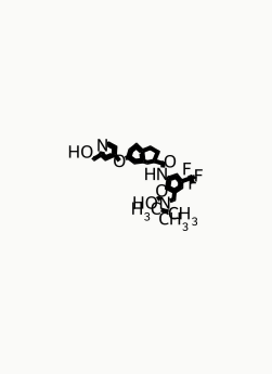 CC(C)(C)N(Cc1cc(NC(=O)C2CCc3ccc(Oc4ccnc(CO)c4)cc3C2)cc(C(F)(F)F)c1)C(=O)O